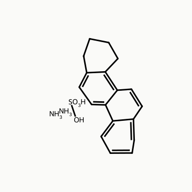 N.N.O=S(=O)(O)O.c1ccc2c(c1)ccc1c3c(ccc12)CCCC3